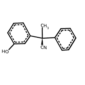 C[C@](C#N)(c1ccccc1)c1cccc(O)c1